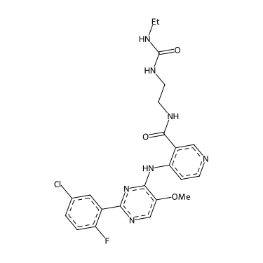 CCNC(=O)NCCNC(=O)c1cnccc1Nc1nc(-c2cc(Cl)ccc2F)ncc1OC